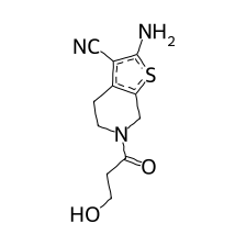 N#Cc1c(N)sc2c1CCN(C(=O)CCO)C2